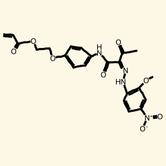 C=CC(=O)OCCOc1ccc(NC(=O)/C(=N\Nc2ccc([N+](=O)[O-])cc2OC)C(C)=O)cc1